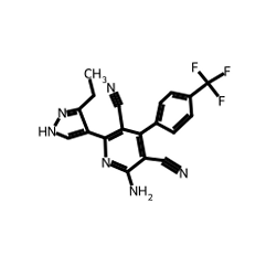 CCc1n[nH]cc1-c1nc(N)c(C#N)c(-c2ccc(C(F)(F)F)cc2)c1C#N